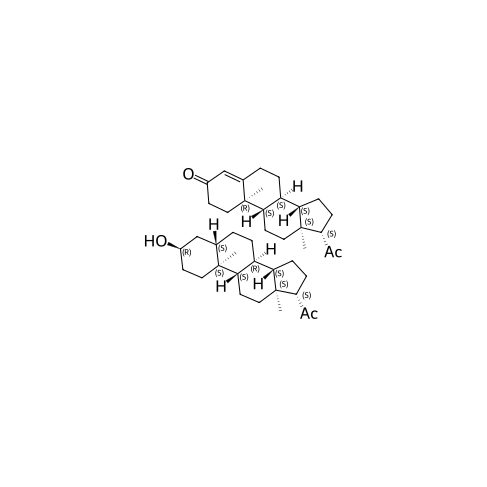 CC(=O)[C@H]1CC[C@H]2[C@@H]3CCC4=CC(=O)CC[C@]4(C)[C@H]3CC[C@]12C.CC(=O)[C@H]1CC[C@H]2[C@@H]3CC[C@H]4C[C@H](O)CC[C@]4(C)[C@H]3CC[C@]12C